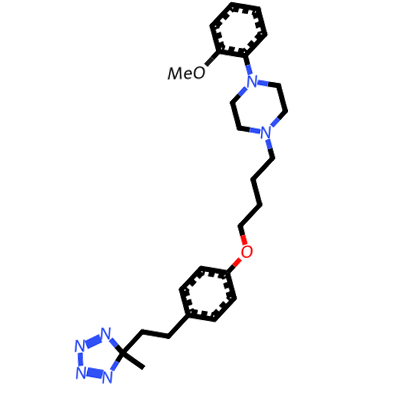 COc1ccccc1N1CCN(CCCCOc2ccc(CCC3(C)N=NN=N3)cc2)CC1